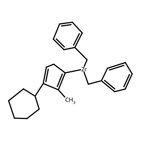 CC1=[C]([Zr]([CH2]c2ccccc2)[CH2]c2ccccc2)CC=C1C1CCCCC1